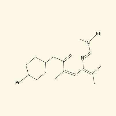 C=C(CC1CCC(C(C)C)CC1)/C(C)=C\C(/N=C/N(C)CC)=C(C)C